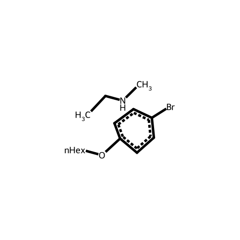 CCCCCCOc1ccc(Br)cc1.CCNC